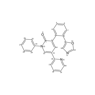 O=c1c(-c2ccccc2-c2cnco2)cc(-c2ccccn2)cn1-c1ccccc1